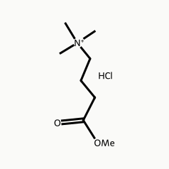 COC(=O)CCC[N+](C)(C)C.Cl